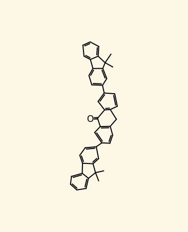 CC1(C)c2ccccc2-c2ccc(-c3ccc4c(c3)C(=O)c3cc(-c5ccc6c(c5)C(C)(C)c5ccccc5-6)ccc3C4)cc21